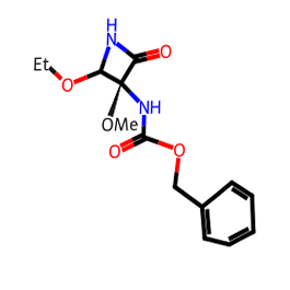 CCOC1NC(=O)[C@@]1(NC(=O)OCc1ccccc1)OC